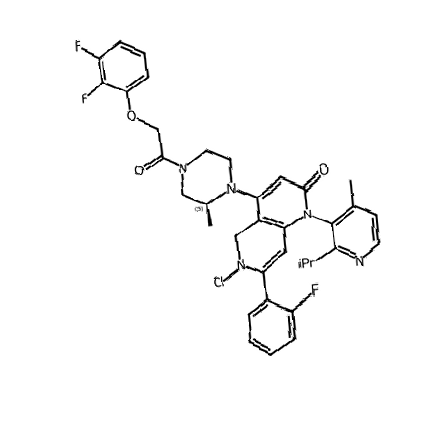 Cc1ccnc(C(C)C)c1-n1c2c(c(N3CCN(C(=O)COc4cccc(F)c4F)C[C@@H]3C)cc1=O)CN(Cl)C(c1ccccc1F)=C2